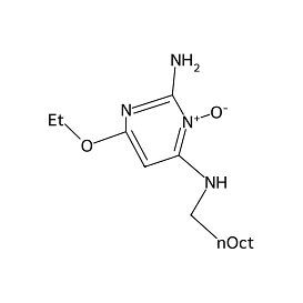 CCCCCCCCCNc1cc(OCC)nc(N)[n+]1[O-]